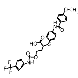 COc1ccc(C(=O)Nc2ccc(SC(CCOC(=O)Nc3ccc(C(F)(F)F)cc3)C(=O)O)cc2)cc1